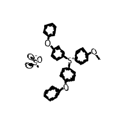 COc1ccc([S+](c2ccc(Oc3ccccc3)cc2)c2ccc(Oc3ccccc3)cc2)cc1.CS(=O)(=O)[O-]